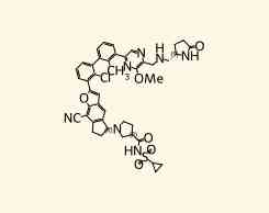 COc1nc(-c2cccc(-c3cccc(-c4cc5cc6c(c(C#N)c5o4)CC[C@H]6N4CC[C@@H](C(=O)NS(=O)(=O)C5CC5)C4)c3Cl)c2C)cnc1CNC[C@@H]1CCC(=O)N1